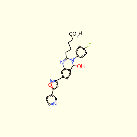 O=C(O)CCCCC1=Nc2cc(-c3cc(-c4cccnc4)on3)ccc2C(O)N1c1ccc(F)cc1